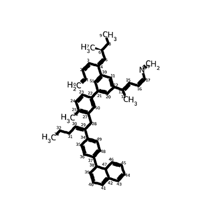 C=C/C=C\C(=C/[C@@H](C)CC)c1cc(/C(C)=C/C=C\N=C)cc(-c2ccc(C)c(C/C(=C/CCC)c3ccc(C4C=CC=C5C=CC=CC54)cc3)c2)c1